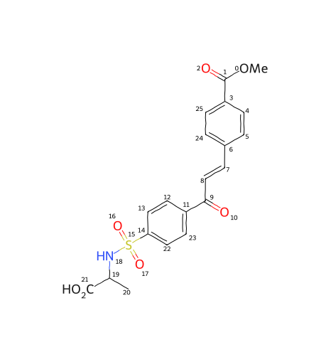 COC(=O)c1ccc(C=CC(=O)c2ccc(S(=O)(=O)NC(C)C(=O)O)cc2)cc1